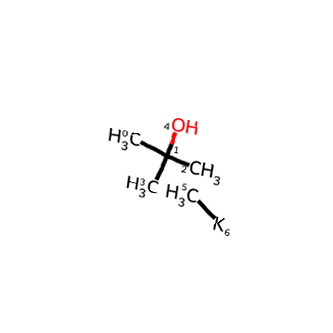 CC(C)(C)O.[CH3][K]